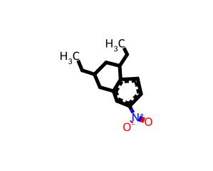 CCC1Cc2cc([N+](=O)[O-])ccc2C(CC)C1